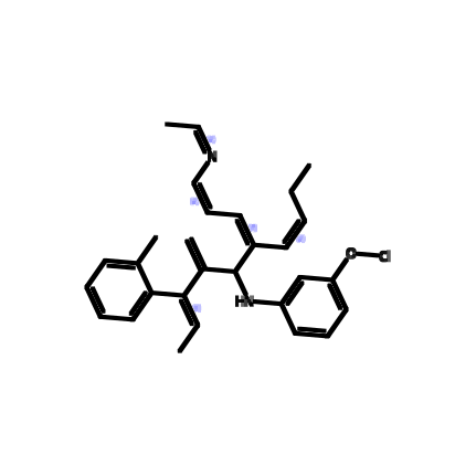 C=C(/C(=C/C)c1ccccc1C)C(Nc1cccc(OCl)c1)C(/C=C\CC)=C\C=C/N=C\C